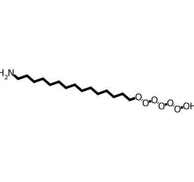 NCCCCCCCCCCCCCCCOOOOOOO